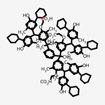 Cc1cc(O)c(C2CCCCC2)cc1C(c1cc(C2CCCCC2)c(O)cc1C)c1cc(C(C)(C)c2cccc(C(C)(c3cc(C)c(OCC(=O)O)c(C(c4cc(C5CCCCC5)c(O)cc4C)c4cc(C5CCCCC5)c(O)cc4C)c3)c3cc(C)c(OCC(=O)O)c(C(c4cc(C5CCCCC5)c(O)cc4C)c4cc(C5CCCCC5)c(O)cc4C)c3)c2)cc(C)c1OCC(=O)O